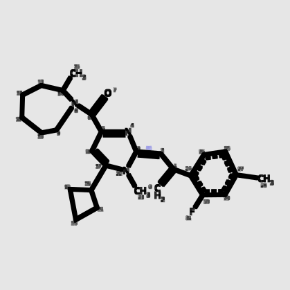 C=C(/C=C1/N=C(C(=O)N2CCCCCC2C)C=C(C2CCC2)N1C)c1ccc(C)cc1F